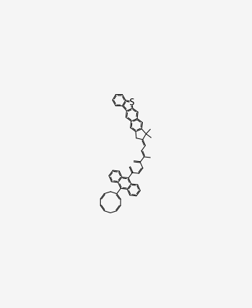 C=C(/C=C\C(=C)c1c2ccccc2c(/C2=C/C=C\C/C=C\C=C/C2)c2ccccc12)/C(C)=C/C=C1\Cc2cc3cc4c(cc3cc2C1(C)C)sc1ccccc14